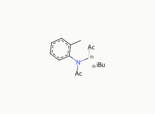 CC[C@H](C)[C@@H](C(C)=O)N(C(C)=O)c1ccccc1C